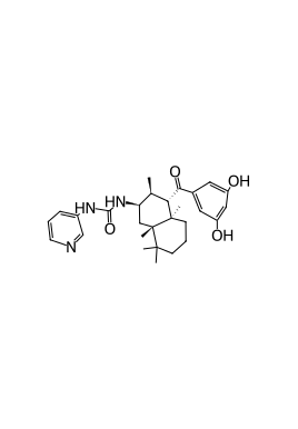 C[C@@H]1[C@H](NC(=O)Nc2cccnc2)C[C@@]2(C)C(C)(C)CCC[C@]2(C)[C@H]1C(=O)c1cc(O)cc(O)c1